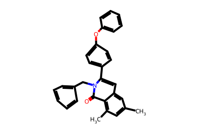 Cc1cc(C)c2c(=O)n(Cc3ccccc3)c(-c3ccc(Oc4ccccc4)cc3)cc2c1